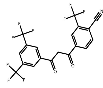 N#Cc1ccc(C(=O)CC(=O)c2cc(C(F)(F)F)cc(C(F)(F)F)c2)cc1C(F)(F)F